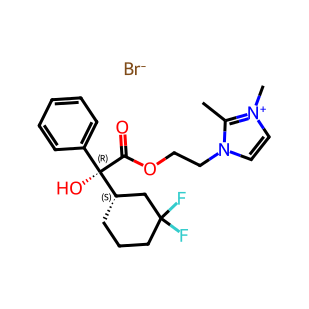 Cc1n(CCOC(=O)[C@](O)(c2ccccc2)[C@H]2CCCC(F)(F)C2)cc[n+]1C.[Br-]